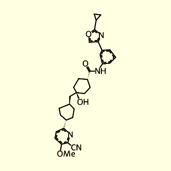 COc1ccc([C@H]2CC[C@H](C[C@]3(O)CC[C@H](C(=O)Nc4cccc(-c5coc(C6CC6)n5)c4)CC3)CC2)nc1C#N